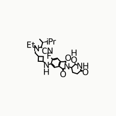 CCN(CC1CC(Nc2cc3c(cc2F)C(=O)N(C2CCC(=O)NC2O)C3=O)C1)C(C#N)[C@@H](C)C(C)C